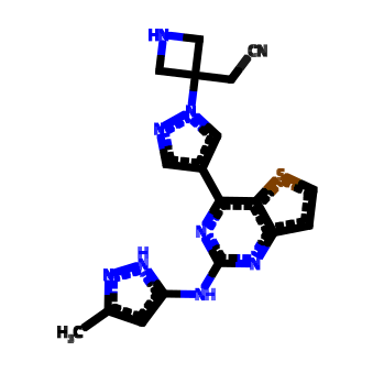 Cc1cc(Nc2nc(-c3cnn(C4(CC#N)CNC4)c3)c3sccc3n2)[nH]n1